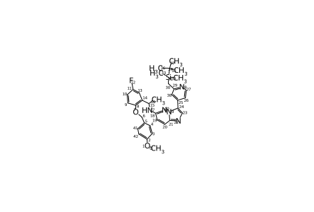 COc1ccc(COc2ccc(F)cc2C(C)Nc2ccc3ncc(-c4ccnc(C[Si](C)(C)C(C)(C)C)c4)n3n2)cc1